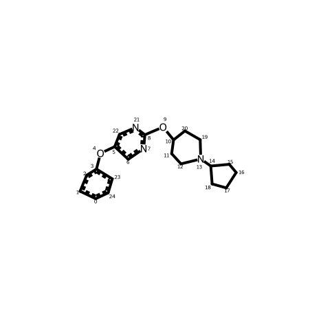 c1ccc(Oc2cnc(OC3CCN(C4CCCC4)CC3)nc2)cc1